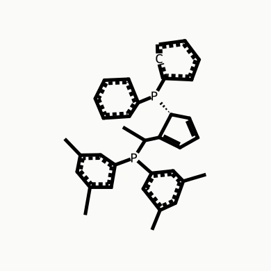 Cc1cc(C)cc(P(c2cc(C)cc(C)c2)C(C)C2=CC=C[C@H]2P(c2ccccc2)c2ccccc2)c1